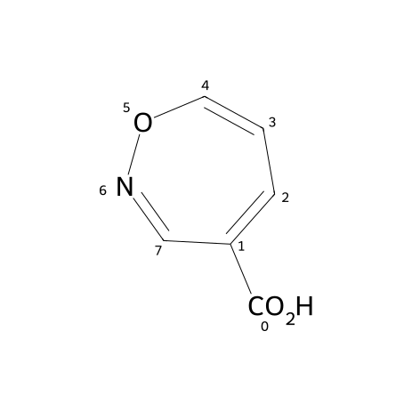 O=C(O)C1=CC=CON=C1